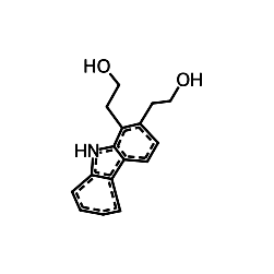 OCCc1ccc2c([nH]c3ccccc32)c1CCO